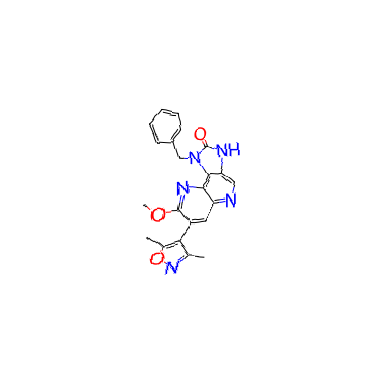 COc1nc2c(cc1-c1c(C)noc1C)ncc1[nH]c(=O)n(Cc3ccccc3)c12